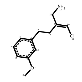 COc1cccc(CC/C(=C\Cl)CN)c1